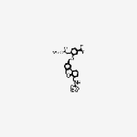 COC(=O)Cc1ccc(C(F)F)cc1OCc1ccc2c(c1)-c1cccc(CNC(=O)OC(C)(C)C)c1OC2